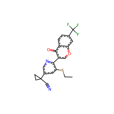 CCSc1cc(C2(C#N)CC2)cnc1-c1coc2cc(C(F)(F)F)ccc2c1=O